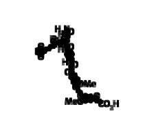 COc1cc2c(cc1OCCCOc1cc3c(cc1OC)CN(C(=O)CCC(=O)NCc1ccc(NC(=O)[C@H](CCCNC(N)=O)NC(=O)[C@@H](NC(=O)CCCCCN4C(=O)C=CC4=O)C(C)C)cc1)C3)CN(C(=O)CCC(=O)O)C2